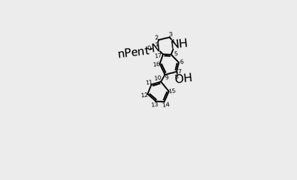 CCCCCN1CCNc2cc(O)c(-c3ccccc3)cc21